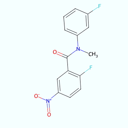 CN(C(=O)c1cc([N+](=O)[O-])ccc1F)c1cccc(F)c1